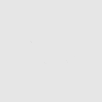 CN1CCC2(CC1)Cc1sc(Cl)nc1[C@@H]2N